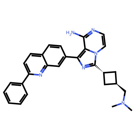 CN(C)C[C@H]1C[C@H](c2nc(-c3ccc4ccc(-c5ccccc5)nc4c3)c3c(N)nccn32)C1